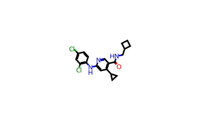 O=C(NCC1CCC1)c1cnc(Nc2ccc(Cl)cc2Cl)cc1C1CC1